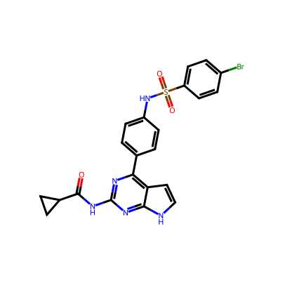 O=C(Nc1nc(-c2ccc(NS(=O)(=O)c3ccc(Br)cc3)cc2)c2cc[nH]c2n1)C1CC1